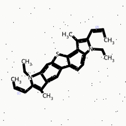 C/C=C\c1c(C)c2cc3c(cc2n1CC)sc1c3ccc2c1c(C)c(/C=C\C)n2CC